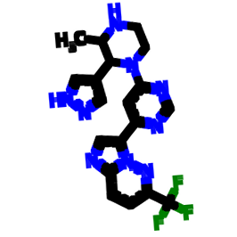 CC1NCCN(c2cc(-c3cnc4ccc(C(F)(F)F)nn34)ncn2)C1c1cn[nH]c1